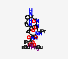 CCCCO[PH](P)(OCCCC)O[C@H](C(=O)N[C@H]1Cc2ccc3c(c2)C24c5cccc(c5NC2O3)-c2cccc3[nH]cc(c23)-c2cnc(o2)-c2nc(oc24)C(C(C)C)NC1=O)C(C)C